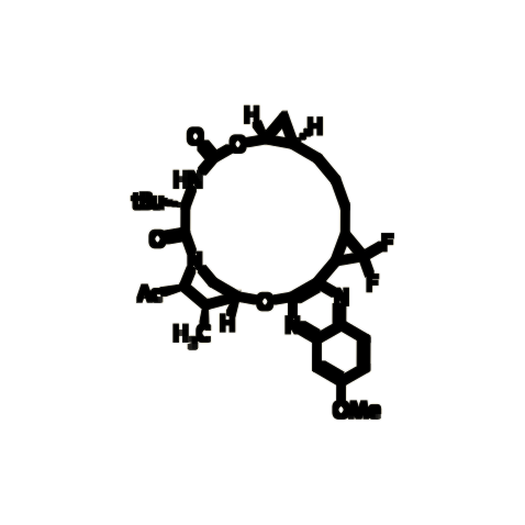 COc1ccc2nc3c(nc2c1)O[C@H]1CN(C(=O)[C@H](C(C)(C)C)NC(=O)O[C@@H]2C[C@H]2CCCC2C3C2(F)F)[C@H](C(C)=O)[C@@H]1C